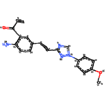 COC(=O)c1cc(C=Cc2ncn(-c3ccc(OC(F)(F)F)cc3)n2)ccc1N